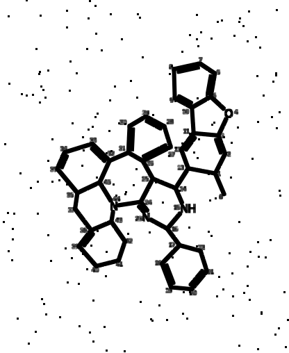 CC1C=c2oc3ccccc3c2=CC1C1NC(C2C=CC=CC2)N=C2C1c1ccccc1C1=CC=CC3CC4=CCCCC4N2C13